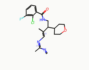 C=N/C(C)=N\C=C(/C)C(CNC(=O)c1cccc(F)c1Cl)C1CCOCC1